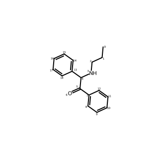 CCCNC(C(=O)c1ccccc1)c1ccccc1